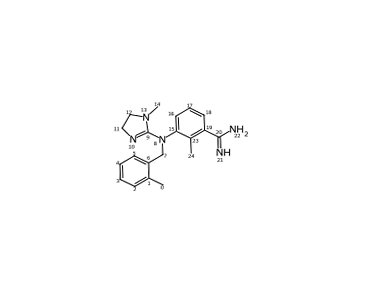 Cc1ccccc1CN(C1=NCCN1C)c1cccc(C(=N)N)c1C